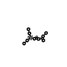 c1ccc(-c2ccc(-c3nc(-c4ccc(-c5ccccc5)cc4)nc(-c4ccc5c(c4)oc4cc(-n6c7ccccc7c7cc(-c8ccccc8)ccc76)ccc45)n3)cc2)cc1